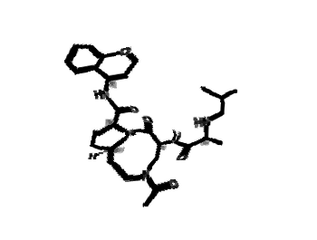 CC(=O)N1CC[C@H]2CC[C@@H](C(=O)N[C@@H]3CCOc4ccccc43)N2C(=O)[C@@H](NC(=O)[C@H](C)NCC(C)C)C1